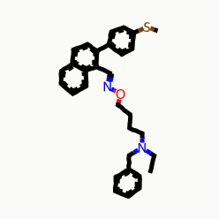 CCN(CCCCON=Cc1c(-c2ccc(SC)cc2)ccc2ccccc12)Cc1ccccc1